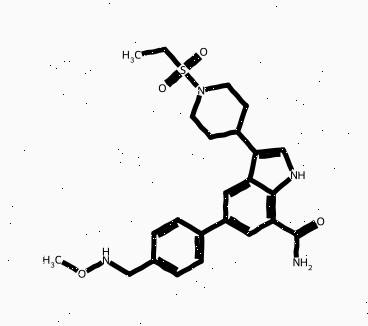 CCS(=O)(=O)N1CCC(c2c[nH]c3c(C(N)=O)cc(-c4ccc(CNOC)cc4)cc23)CC1